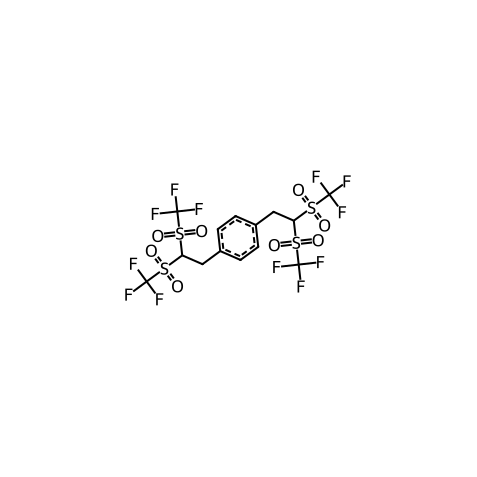 O=S(=O)(C(Cc1ccc(CC(S(=O)(=O)C(F)(F)F)S(=O)(=O)C(F)(F)F)cc1)S(=O)(=O)C(F)(F)F)C(F)(F)F